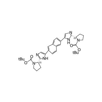 CC(C)(C)OC(=O)N1CCC[C@H]1c1ncc(-c2ccc3cc(-c4cnc([C@@H]5CCCN5C(=O)OC(C)(C)C)[nH]4)ccc3c2)[nH]1